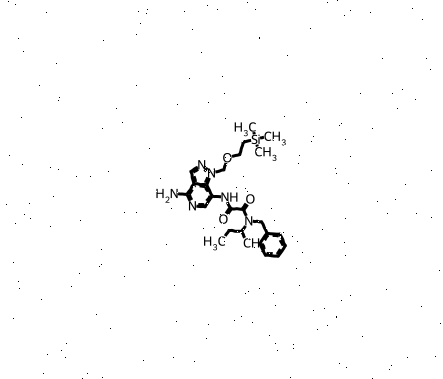 CCC(C)N(Cc1ccccc1)C(=O)C(=O)Nc1cnc(N)c2cnn(COCC[Si](C)(C)C)c12